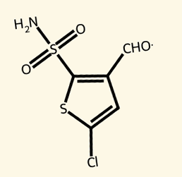 NS(=O)(=O)c1sc(Cl)cc1[C]=O